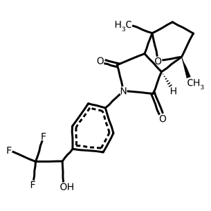 CC12CC[C@@](C)(O1)[C@H]1C(=O)N(c3ccc(C(O)C(F)(F)F)cc3)C(=O)C12